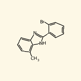 Cc1cccc2nc(-c3ccccc3Br)[nH]c12